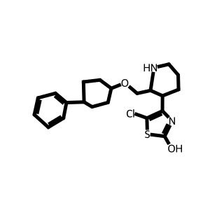 Oc1nc(C2CCCNC2COC2CCC(c3ccccc3)CC2)c(Cl)s1